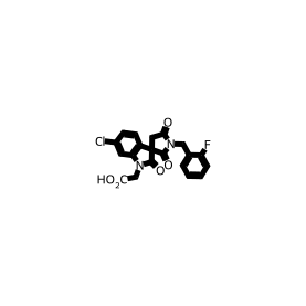 O=C(O)CN1C(=O)C2(CC(=O)N(Cc3ccccc3F)C2=O)c2ccc(Cl)cc21